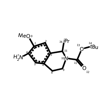 COc1cc2c(cc1N)CCN(C(=O)OC(C)(C)C)C2C(C)C